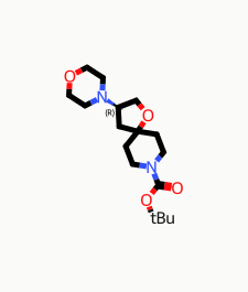 CC(C)(C)OC(=O)N1CCC2(CC1)C[C@@H](N1CCOCC1)CO2